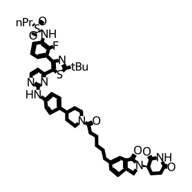 CCCS(=O)(=O)Nc1cccc(-c2nc(C(C)(C)C)sc2-c2ccnc(Nc3ccc(C4CCN(C(=O)CCCCCc5ccc6c(c5)C(=O)N([C@@H]5CCC(=O)NC5=O)C6)CC4)cc3)n2)c1F